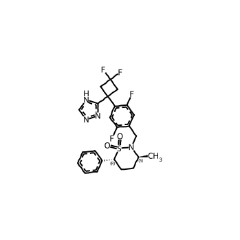 C[C@H]1CC[C@H](c2ccccc2)S(=O)(=O)N1Cc1cc(F)c(C2(c3nnc[nH]3)CC(F)(F)C2)cc1F